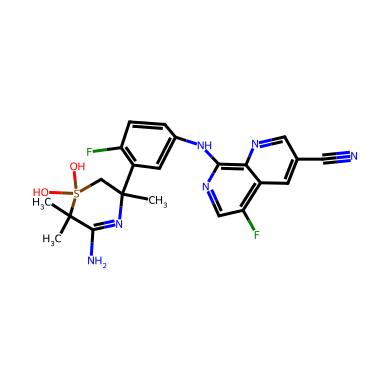 CC1(c2cc(Nc3ncc(F)c4cc(C#N)cnc34)ccc2F)CS(O)(O)C(C)(C)C(N)=N1